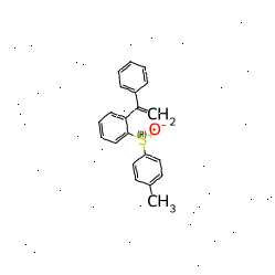 C=C(c1ccccc1)c1ccccc1[S@@+]([O-])c1ccc(C)cc1